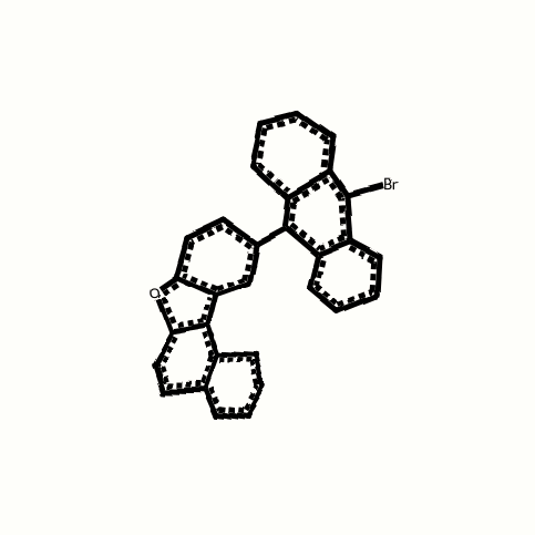 Brc1c2ccccc2c(-c2ccc3oc4ccc5ccccc5c4c3c2)c2ccccc12